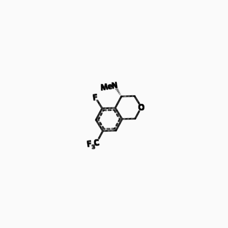 CN[C@@H]1COCc2cc(C(F)(F)F)cc(F)c21